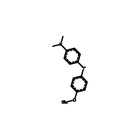 CN(C)c1ccc([I+]c2ccc(OC(C)(C)C)cc2)cc1